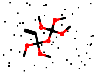 C=CC(OC)(OC)O[Si](OC)(OC)OC